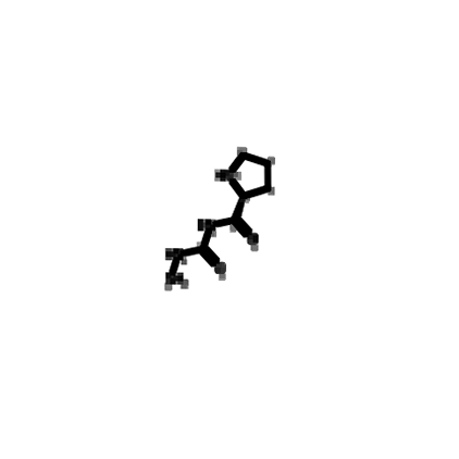 NNC(=O)NC(=O)[C@@H]1CCCN1